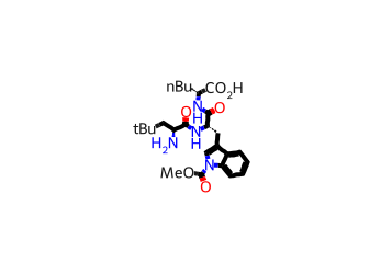 CCCC[C@@H](NC(=O)[C@H](Cc1cn(C(=O)OC)c2ccccc12)NC(=O)[C@@H](N)CC(C)(C)C)C(=O)O